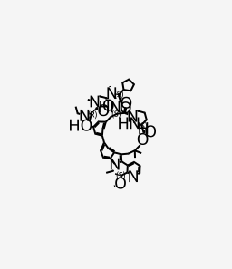 CCN1C[C@@H]1C(=O)N(C)CC(=O)N(C)[C@H](C(=O)N[C@H]1Cc2cc(O)cc(c2)-c2ccc3c(c2)c(c(-c2cccnc2[C@H](C)OC)n3CC)CC(C)(C)COC(=O)[C@@H]2CCCN(N2)C1=O)C1CCCC1